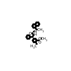 CCc1ccc([C@H]2C[C@H](CN[C@H](C)c3cccc4ccccc34)Oc3ccccc32)cc1C(=O)OC